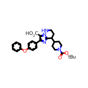 CC(C)(C)OC(=O)N1CCC(C2CCNn3c2nc(-c2ccc(Oc4ccccc4)cc2)c3C(=O)O)CC1